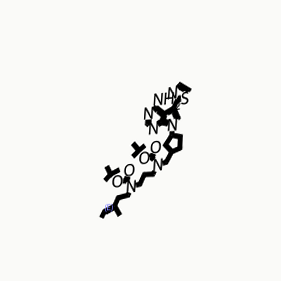 C/C=C(\C)CCN(CCCN(CC1CCC(n2cc(-c3nccs3)c3c(N)ncnc32)C1)C(=O)OC(C)(C)C)C(=O)OC(C)(C)C